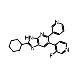 Fc1cnccc1-c1cc2nc(C3CCCCC3)[nH]c2nc1-c1cccnc1